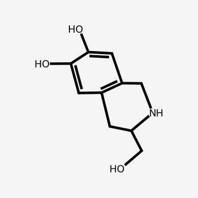 OCC1Cc2cc(O)c(O)cc2CN1